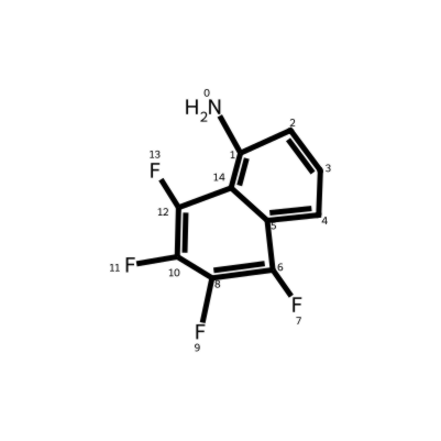 Nc1cccc2c(F)c(F)c(F)c(F)c12